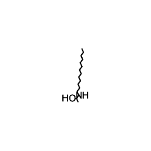 CCCCCCCCCCCCCNC(C)O